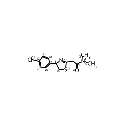 CN(C)C(=O)CC1=NC(c2ccc(Cl)cc2)CS1